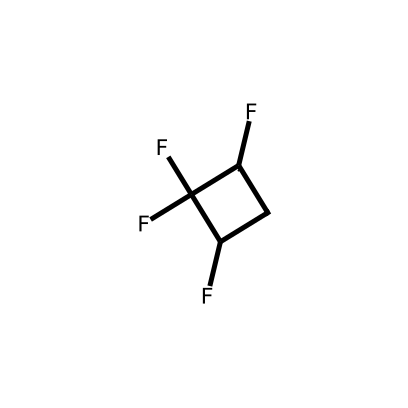 F[C]1CC(F)C1(F)F